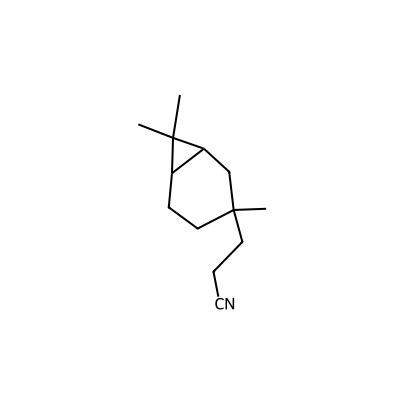 CC1(CCC#N)CCC2C(C1)C2(C)C